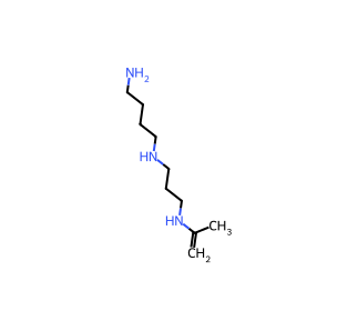 C=C(C)NCCCNCCCCN